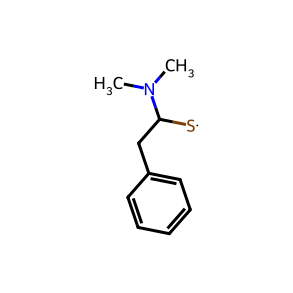 CN(C)C([S])Cc1ccccc1